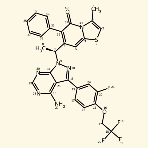 Cc1csc2cc([C@H](C)n3nc(-c4ccc(OCC(F)(F)F)c(F)c4)c4c(N)ncnc43)c(-c3ccccc3)c(=O)n12